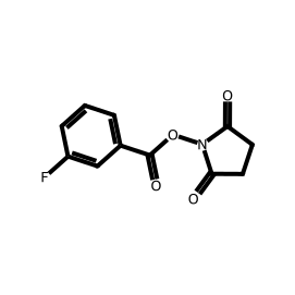 O=C(ON1C(=O)CCC1=O)c1cccc(F)c1